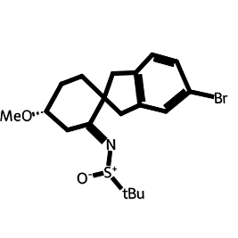 CO[C@@H]1CCC2(Cc3ccc(Br)cc3C2)C(=N[S+]([O-])C(C)(C)C)C1